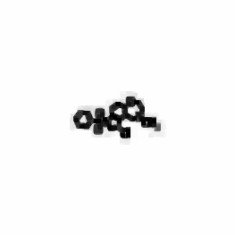 CN1CCOc2ccc3c(c(Cl)cn3S(=O)(=O)c3ccccc3)c2C1